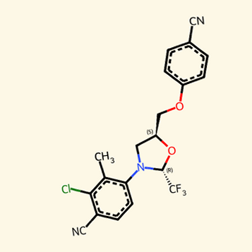 Cc1c(N2C[C@@H](COc3ccc(C#N)cc3)O[C@@H]2C(F)(F)F)ccc(C#N)c1Cl